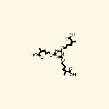 CC(=CCCOc1nc(OCCC=C(C)C(=O)O)nc(OCCC=C(C)C(=O)O)n1)C(=O)O